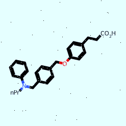 CCCN(Cc1ccc(COc2ccc(CCC(=O)O)cc2)cc1)c1ccccc1